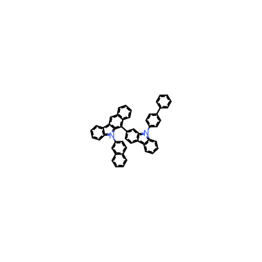 c1ccc(-c2ccc(-n3c4ccccc4c4ccc(-c5c6ccccc6cc6c7ccccc7n(-c7ccc8ccccc8c7)c56)cc43)cc2)cc1